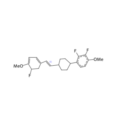 COC1=CC=C(/C=C/C2CCC(c3ccc(OC)c(F)c3F)CC2)CC1F